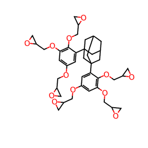 c1c(OCC2CO2)cc(C23CC4CC(C2)CC(c2cc(OCC5CO5)cc(OCC5CO5)c2OCC2CO2)(C4)C3)c(OCC2CO2)c1OCC1CO1